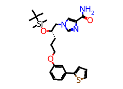 CC(C)(C)[Si](C)(C)O[C@@H](CCCOc1cccc(-c2cccs2)c1)Cn1cnc(C(N)=O)c1